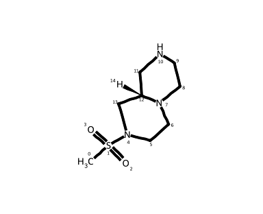 CS(=O)(=O)N1CCN2CCNC[C@H]2C1